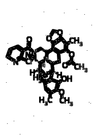 COc1c(C)cc2c(c1O)[C@@H]1C3Cc4c(OC(C)=O)c(C)c5c(c4[C@H](CNC(=O)c4cccnc4Cl)N3[C@@H](C#N)[C@H](C2)N1C)OCO5